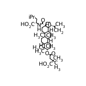 C=C(C)[C@@H]1CC[C@]2(C(=O)N[C@@H](CC(C)C)C(=O)O)CC[C@]3(C)[C@H](CC[C@@H]4[C@@]5(C)CC[C@H](OC(=O)CC(C)(C)C(=O)O)C(C)(C)[C@@H]5CC[C@]43C)[C@@H]12